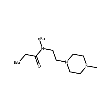 CCCCN(CCN1CCN(C)CC1)C(=O)CC(C)(C)C